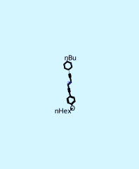 CCCCCCOc1ccc(C#C/C=C/C#C[C@H]2CC[C@H](CCCC)CC2)cc1